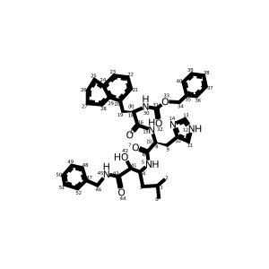 CC(C)CC(NC(=O)[C@H](Cc1c[nH]cn1)NC(=O)[C@@H](Cc1cccc2ccccc12)NC(=O)OCc1ccccc1)C(O)C(=O)NCc1ccccc1